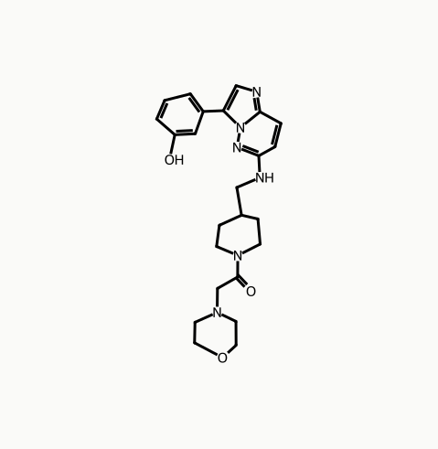 O=C(CN1CCOCC1)N1CCC(CNc2ccc3ncc(-c4cccc(O)c4)n3n2)CC1